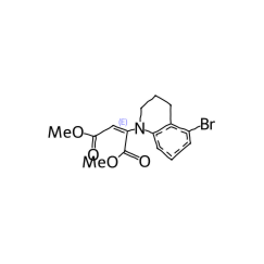 COC(=O)/C=C(\C(=O)OC)N1CCCc2c(Br)cccc21